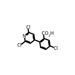 O=C(O)c1cc(Cl)ccc1-c1cc(Cl)nc(Cl)c1